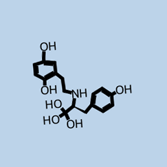 Oc1ccc(C[C@H](NCCc2cc(O)ccc2O)C(O)(O)O)cc1